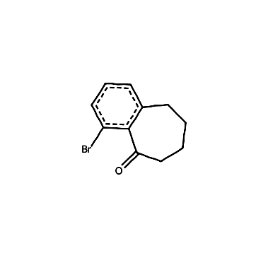 O=C1CCCCc2cccc(Br)c21